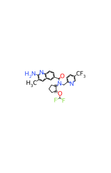 Cc1cc2cc(C(=O)N(Cc3ccc(C(F)(F)F)cn3)[C@@H]3CCC[C@H]3OC(F)F)ccc2nc1N